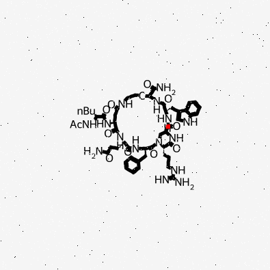 CCCC[C@H](NC(C)=O)C(=O)N[C@H]1CC(=O)NCCCC(C(N)=O)NC(=O)[C@H](Cc2c[nH]c3ccccc23)NC(=O)[C@H]2CN(C(=O)[C@@H](Cc3ccccc3)NC(=O)[C@H](CCC(N)=O)NC1=O)[C@@H](CCCNC(=N)N)C(=O)N2